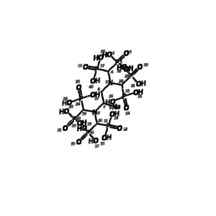 O=P(O)(O)C(N(C[CH]([Na])N(C(P(=O)(O)O)P(=O)(O)O)C(P(=O)(O)O)P(=O)(O)O)C(P(=O)(O)O)P(=O)(O)O)P(=O)(O)O